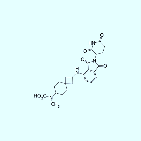 CN(C(=O)O)C1CCC2(CC1)CC(Nc1cccc3c1C(=O)N(C1CCC(=O)NC1=O)C3=O)C2